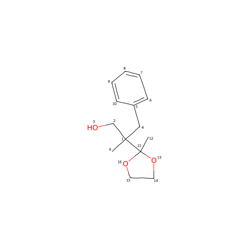 CC(CO)(Cc1ccccc1)C1(C)OCCO1